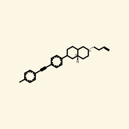 C=CCC[C@@H]1CC[C@@H]2CC(c3ccc(C#Cc4ccc(C)cc4)cc3)CCC2C1